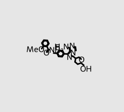 COc1ccccc1C(=O)NCc1ccc(-c2nc(C3CCC(CO)OC3)n3ccnc(N)c23)cc1F